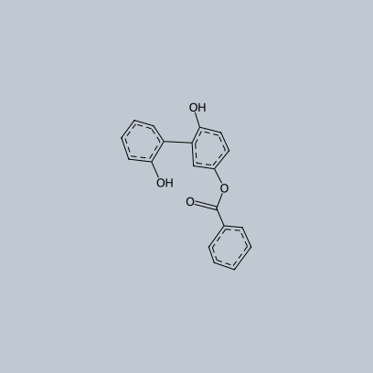 O=C(Oc1ccc(O)c(-c2ccccc2O)c1)c1ccccc1